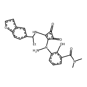 CCC(Nc1c(N(N)c2cccc(C(=O)N(C)C)c2O)c(=O)c1=O)c1ccc2occc2c1